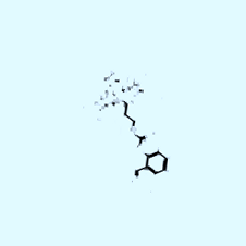 C=Cc1ccccc1OC(=O)NCCC[Si](O[Si](C)(C)C)(O[Si](C)(C)C)O[Si](C)(C)C